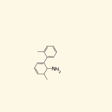 Cc1ccccc1C1=CC=CC(C)C1N